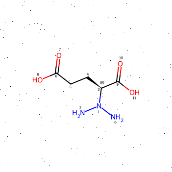 NN(N)[C@@H](CCC(=O)O)C(=O)O